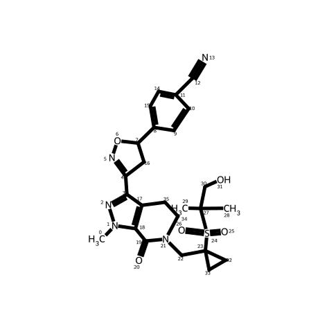 Cn1nc(C2=NOC(c3ccc(C#N)cc3)C2)c2c1C(=O)N(CC1(S(=O)(=O)C(C)(C)CO)CC1)CC2